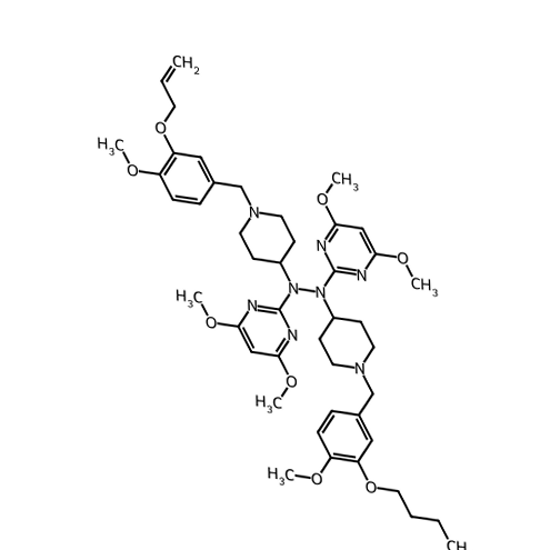 C=CCOc1cc(CN2CCC(N(c3nc(OC)cc(OC)n3)N(c3nc(OC)cc(OC)n3)C3CCN(Cc4ccc(OC)c(OCCCC)c4)CC3)CC2)ccc1OC